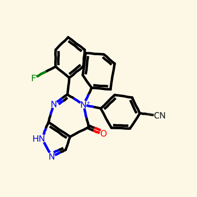 N#Cc1ccc([N+]2(c3ccccc3)C(=O)c3cn[nH]c3N=C2c2ccccc2F)cc1